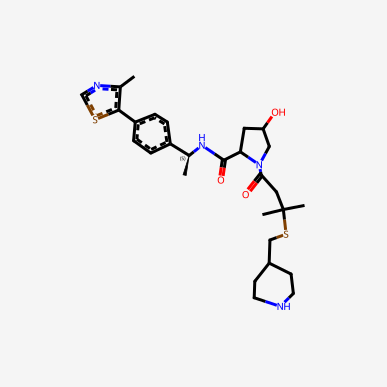 Cc1ncsc1-c1ccc([C@H](C)NC(=O)C2CC(O)CN2C(=O)CC(C)(C)SCC2CCNCC2)cc1